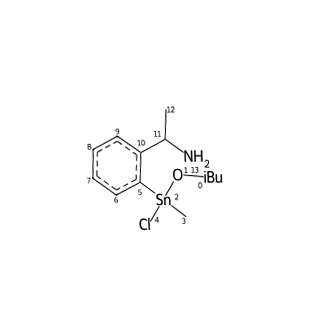 CCC(C)[O][Sn]([CH3])([Cl])[c]1ccccc1C(C)N